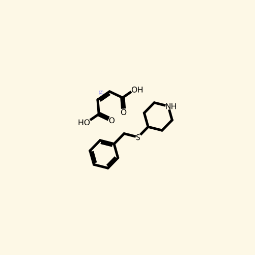 O=C(O)/C=C\C(=O)O.c1ccc(CSC2CCNCC2)cc1